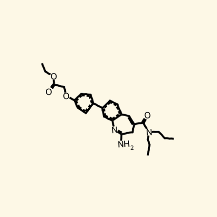 CCCN(CCC)C(=O)C1=Cc2ccc(-c3ccc(OCC(=O)OCC)cc3)cc2N=C(N)C1